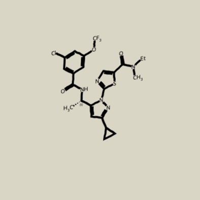 CCN(C)C(=O)c1cnc(-n2nc(C3CC3)cc2[C@H](C)NC(=O)c2cc(Cl)cc(OC(F)(F)F)c2)s1